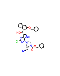 N#CC[C@H]1CN(c2nc(Cl)nc3c(C(O)c4cc(OCc5ccccc5)cc5ccccc45)c[nH]c23)CCN1C(=O)OCc1ccccc1